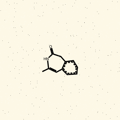 CC1=Cc2ccccc2CC(=O)N1